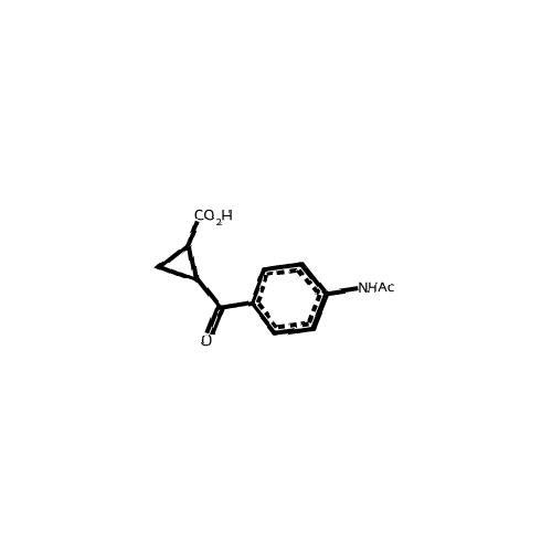 CC(=O)Nc1ccc(C(=O)C2CC2C(=O)O)cc1